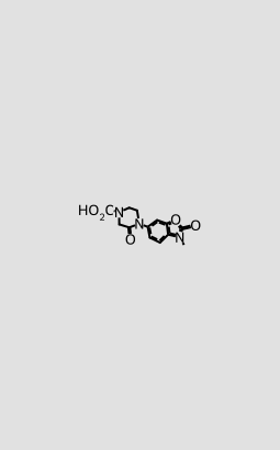 Cn1c(=O)oc2cc(N3CCN(C(=O)O)CC3=O)ccc21